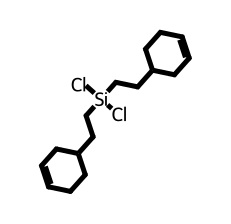 Cl[Si](Cl)(CCC1CC=CCC1)CCC1CC=CCC1